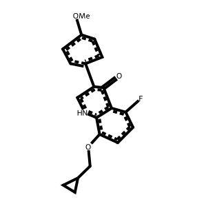 COc1ccc(-c2c[nH]c3c(OCC4CC4)ccc(F)c3c2=O)cc1